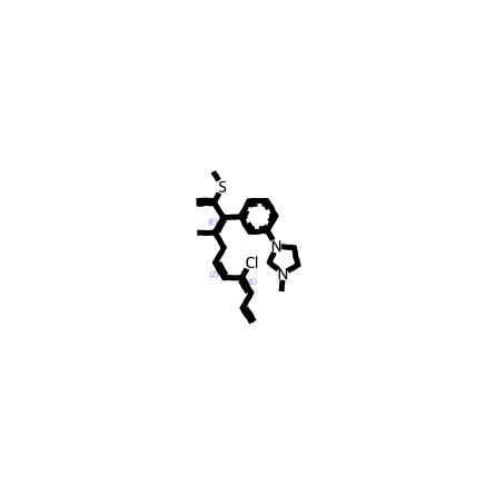 C=C/C=C(Cl)\C=C/C/C(C)=C(/C(=C)SC)c1cccc(N2CCN(C)C2)c1